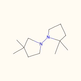 CC1(C)CCN(N2CCCC2(C)C)C1